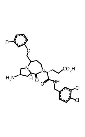 N[C@@H]1C[C@H]2C(=O)N([C@H](CCC(=O)O)C(=O)NCc3ccc(Cl)c(Cl)c3)CCC(COc3cccc(F)c3)N2C1